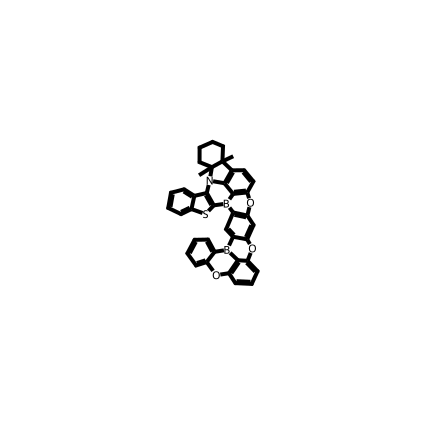 CC12CCCCC1(C)N1c3c2ccc2c3B(c3cc4c(cc3O2)Oc2cccc3c2B4c2ccccc2O3)c2sc3ccccc3c21